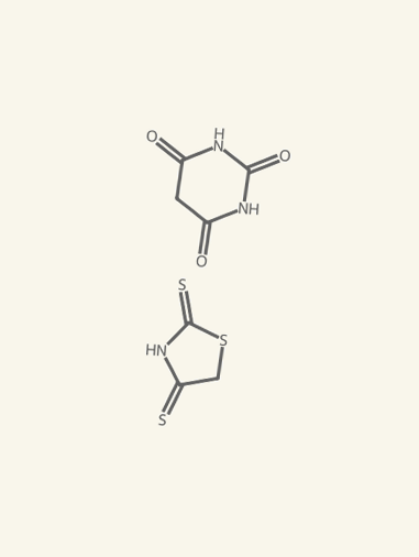 O=C1CC(=O)NC(=O)N1.S=C1CSC(=S)N1